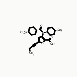 CCC#Cc1cc(N(C(=O)[C@H]2CC[C@H](C)CC2)[C@H]2CC[C@H](O)CC2)c(C(=O)O)s1